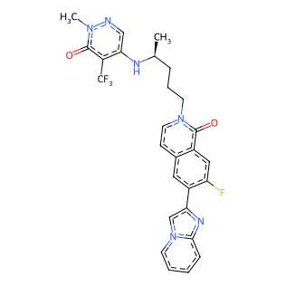 C[C@@H](CCCn1ccc2cc(-c3cn4ccccc4n3)c(F)cc2c1=O)Nc1cnn(C)c(=O)c1C(F)(F)F